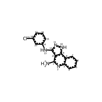 Nc1nc2ccccc2c2[nH]nc(Nc3cccc(Cl)c3)c12